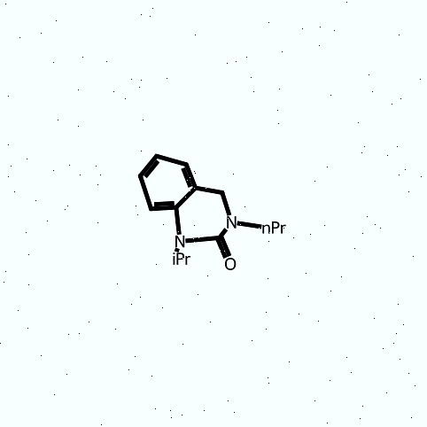 CCCN1Cc2ccccc2N(C(C)C)C1=O